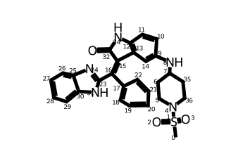 CS(=O)(=O)N1CCC(Nc2ccc3c(c2)/C(=C(\c2ccccc2)c2nc4ccccc4[nH]2)C(=O)N3)CC1